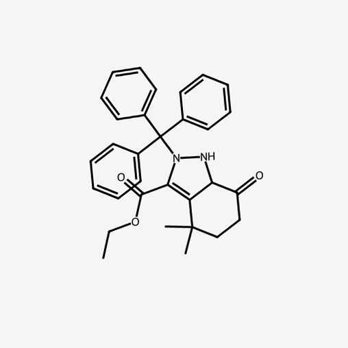 CCOC(=O)C1=C2C(NN1C(c1ccccc1)(c1ccccc1)c1ccccc1)C(=O)CCC2(C)C